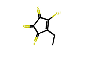 CCc1c(S)c(=S)c(=S)c1=S